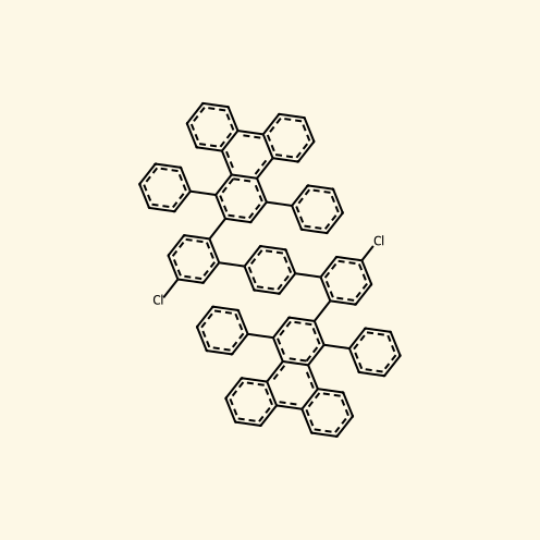 Clc1ccc(-c2cc(-c3ccccc3)c3c4ccccc4c4ccccc4c3c2-c2ccccc2)c(-c2ccc(-c3cc(Cl)ccc3-c3cc(-c4ccccc4)c4c5ccccc5c5ccccc5c4c3-c3ccccc3)cc2)c1